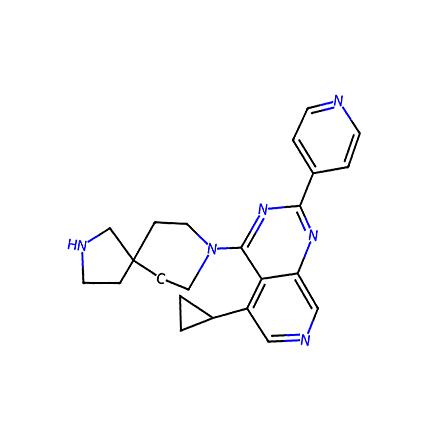 c1cc(-c2nc(N3CCC4(CCNC4)CC3)c3c(C4CC4)cncc3n2)ccn1